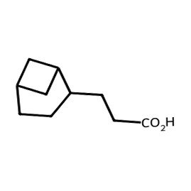 O=C(O)CCC1CCC2CC1C2